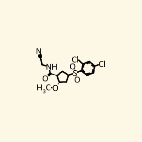 CO[C@H]1CC(S(=O)(=O)c2ccc(Cl)cc2Cl)C[C@@H]1C(=O)NCC#N